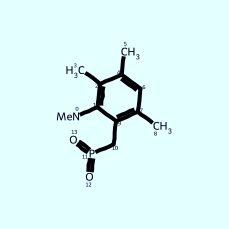 CNc1c(C)c(C)cc(C)c1CP(=O)=O